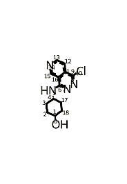 O[C@H]1CC[C@H](Nc2nnc(Cl)c3ccncc23)CC1